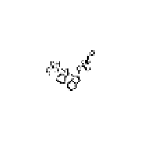 COC(=O)O.COC(=O)O.O=S=O.c1ccc2sccc2c1.c1ccc2sccc2c1